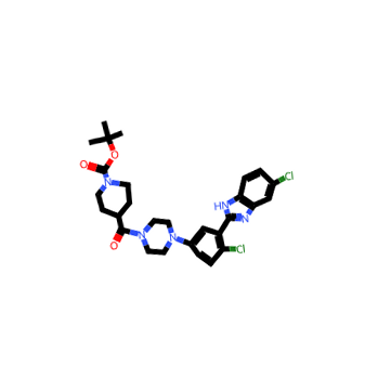 CC(C)(C)OC(=O)N1CCC(C(=O)N2CCN(c3ccc(Cl)c(-c4nc5cc(Cl)ccc5[nH]4)c3)CC2)CC1